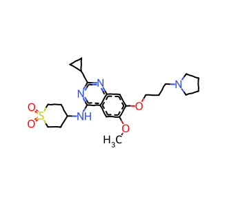 COc1cc2c(NC3CCS(=O)(=O)CC3)nc(C3CC3)nc2cc1OCCCN1CCCC1